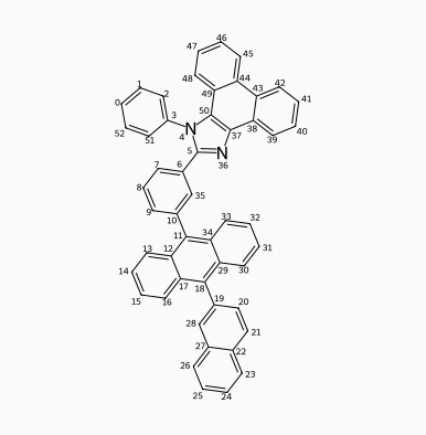 c1ccc(-n2c(-c3cccc(-c4c5ccccc5c(-c5ccc6ccccc6c5)c5ccccc45)c3)nc3c4ccccc4c4ccccc4c32)cc1